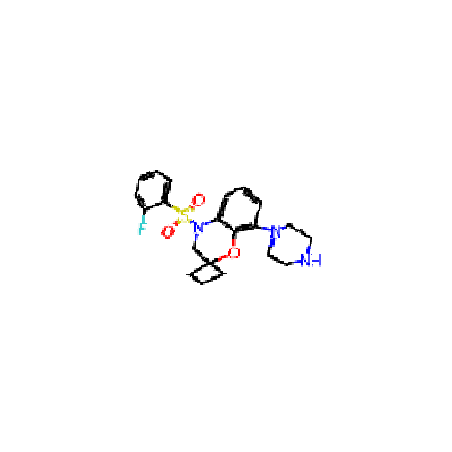 O=S(=O)(c1ccccc1F)N1CC2(CCC2)Oc2c(N3CCNCC3)cccc21